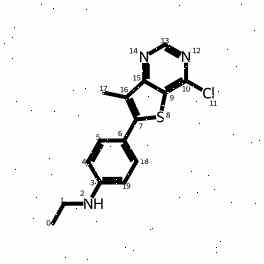 CCNc1ccc(-c2sc3c(Cl)ncnc3c2C)cc1